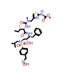 CC[C@H](C)[C@H](NC(=O)N(C)Cc1csc(NC(=O)OC)n1)C(=O)N[C@@H](Cc1ccccc1)[C@H](O)CN(CC(C)C)S(=O)(=O)c1ccc(/C=N/O)cc1